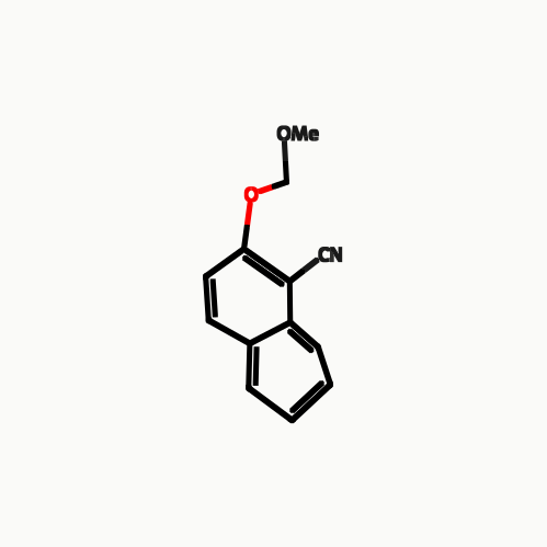 COCOc1ccc2ccccc2c1C#N